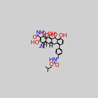 CC(C)COC(=O)NCc1ccc(-c2ccc(O)c3c2C[C@H]2C[C@@H]4[C@H](N(C)C)C(O)=C(C(N)=O)C(=O)[C@]4(O)C(O)=C2C3=O)cc1